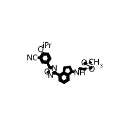 CC(C)Oc1ccc(-c2nc(-c3cccc4c3CCC4NCCS(C)(=O)=O)no2)cc1C#N